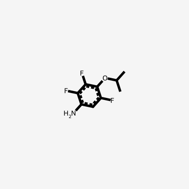 CC(C)Oc1c(F)cc(N)c(F)c1F